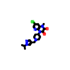 CC(C)n1cc(CN2CCC(n3c(=O)c(=O)n(C)c4cc(Cl)cnc43)CC2)cn1